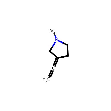 C=C=C1CCN(C(C)=O)C1